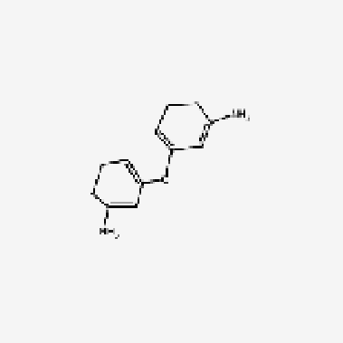 NC1=CC(OC2=CCCC(N)=C2)=CCC1